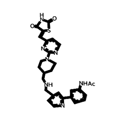 CC(=O)Nc1cccc(-c2cc(CNCC3CCN(c4nccc(/C=C5\SC(=O)NC5=O)n4)CC3)ccn2)c1